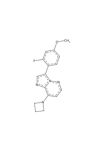 COc1ccc(-c2[c]nc3c(N4CCC4)ccnn23)c(F)c1